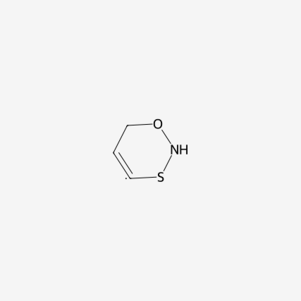 [C]1=CCONS1